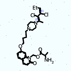 CC/C=C(Cl)\C(Cl)=C(/C)N1CCN(CCCCOc2ccc3ccc(=O)n(COC(=O)C(C)N)c3c2)CC1